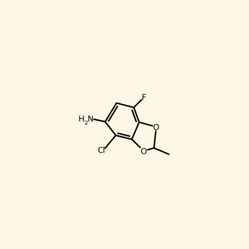 CC1Oc2c(F)cc(N)c(Cl)c2O1